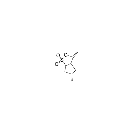 C=C1CC2C(=C)OS(=O)(=O)C2C1